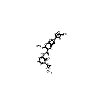 CC(C)Oc1nc2nn(C34COC(C)(C3)C4)cc2cc1C(=O)Nc1cccn(C2C[C@@H]2C)c1=O